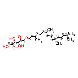 C/C(=C\COCC(=O)[C@H](O)[C@@H](O)[C@H](O)CO)CCCC(C)CCCC(C)CCCC(C)C